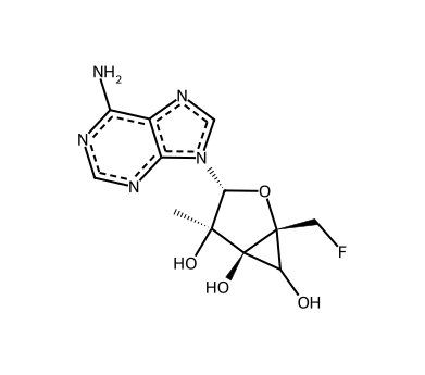 C[C@]1(O)[C@H](n2cnc3c(N)ncnc32)O[C@]2(CF)C(O)[C@]12O